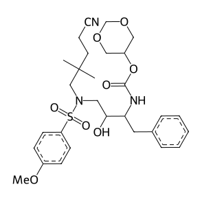 COc1ccc(S(=O)(=O)N(CC(O)C(Cc2ccccc2)NC(=O)OC2COCOC2)CC(C)(C)CCC#N)cc1